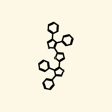 c1ccc(-c2csc(-c3ccc(-c4scc(-c5ccccc5)c4-c4ccccc4)o3)c2-c2ccccc2)cc1